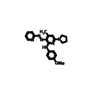 COc1ccc(Nc2nc(N3CCCC3)cc(C)c2N=Nc2ccccn2)cc1